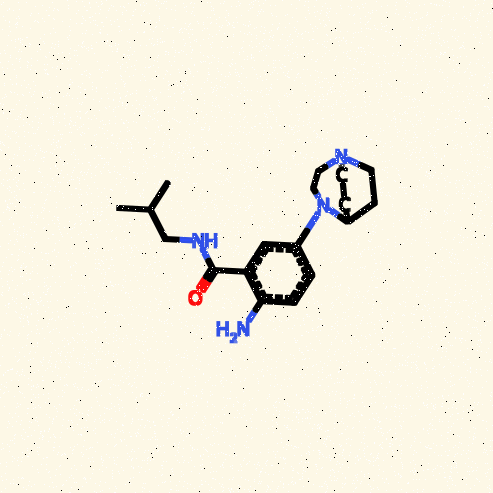 CC(C)CNC(=O)c1cc(N2CCN3CCC2CC3)ccc1N